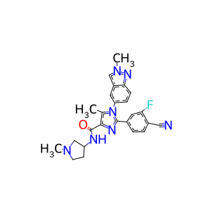 Cc1c(C(=O)NC2CCN(C)C2)nc(-c2ccc(C#N)c(F)c2)n1-c1ccc2nn(C)cc2c1